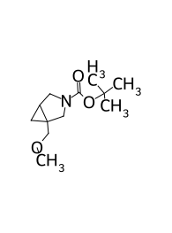 COCC12CC1CN(C(=O)OC(C)(C)C)C2